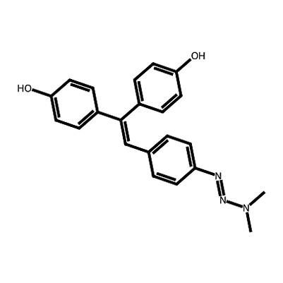 CN(C)N=Nc1ccc(C=C(c2ccc(O)cc2)c2ccc(O)cc2)cc1